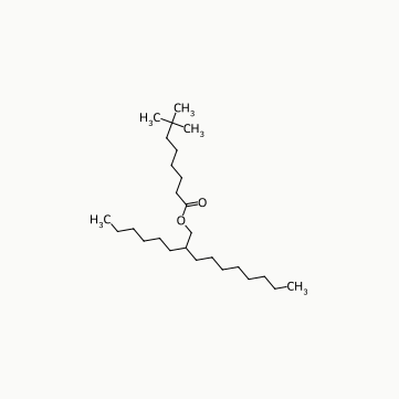 CCCCCCCCC(CCCCCC)COC(=O)CCCCCC(C)(C)C